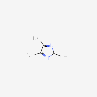 CC1N=C(C#N)C(C#N)=N1